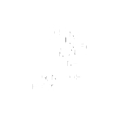 CCC1(c2nc(Cl)c3cnc(N[C@H]4CCN(S(C)(=O)=O)C[C@H]4O)nn23)CCC1